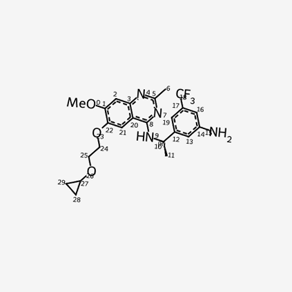 COc1cc2nc(C)nc(N[C@H](C)c3cc(N)cc(C(F)(F)F)c3)c2cc1OCCOC1CC1